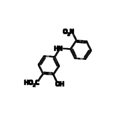 O=C(O)c1ccc(Nc2ccccc2[N+](=O)[O-])cc1O